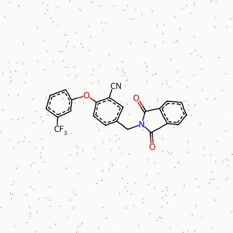 N#Cc1cc(CN2C(=O)c3ccccc3C2=O)ccc1Oc1cccc(C(F)(F)F)c1